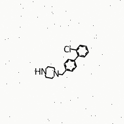 Clc1ccccc1-c1ccc(CN2CCNCC2)cc1